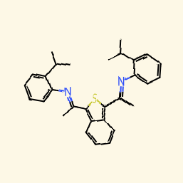 C/C(=N\c1ccccc1C(C)C)c1sc(/C(C)=N/c2ccccc2C(C)C)c2ccccc12